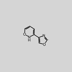 [c]1nc(C2=CC=CON2)co1